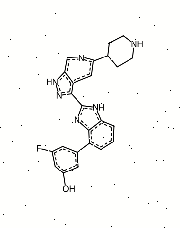 Oc1cc(F)cc(-c2cccc3[nH]c(-c4n[nH]c5cnc(C6CCNCC6)cc45)nc23)c1